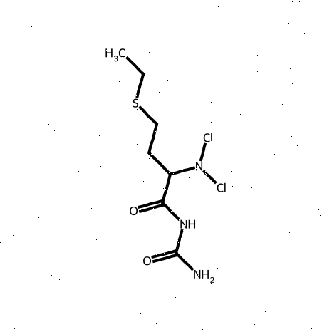 CCSCCC(C(=O)NC(N)=O)N(Cl)Cl